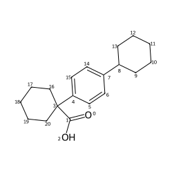 O=C(O)C1(c2ccc(C3CCCCC3)cc2)CCCCC1